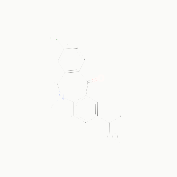 CC(C(=O)O)c1ccc2c(c1)C(=O)c1ccc(Cl)cc1CN2C